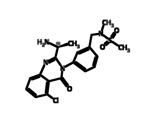 C[C@H](N)c1nc2cccc(Cl)c2c(=O)n1-c1cccc(CN(C)S(C)(=O)=O)c1